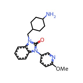 COc1ccc(-n2c(=O)n(CC3CCC(N)CC3)c3ccccc32)cn1